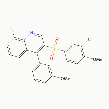 COc1cccc(-c2c(S(=O)(=O)c3ccc(OC)c(Cl)c3)cnc3c(F)cccc23)c1